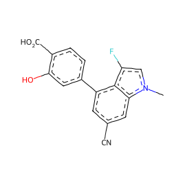 Cn1cc(F)c2c(-c3ccc(C(=O)O)c(O)c3)cc(C#N)cc21